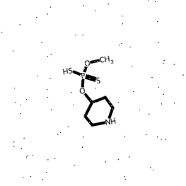 COP(=S)(S)OC1CCNCC1